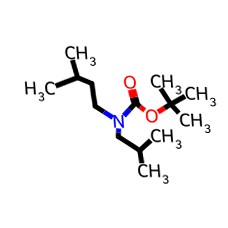 CC(C)CCN(CC(C)C)C(=O)OC(C)(C)C